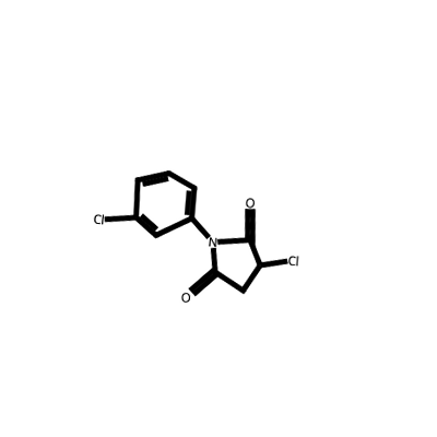 O=C1CC(Cl)C(=O)N1c1cccc(Cl)c1